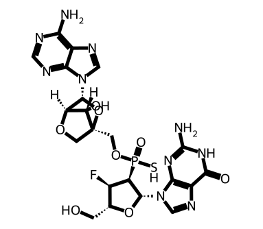 Nc1nc2c(ncn2[C@@H]2O[C@H](CO)[C@@H](F)[C@H]2P(=O)(S)OC[C@@]23CO[C@@H]([C@H](n4cnc5c(N)ncnc54)O2)[C@@H]3O)c(=O)[nH]1